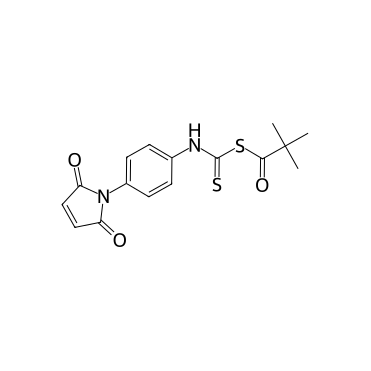 CC(C)(C)C(=O)SC(=S)Nc1ccc(N2C(=O)C=CC2=O)cc1